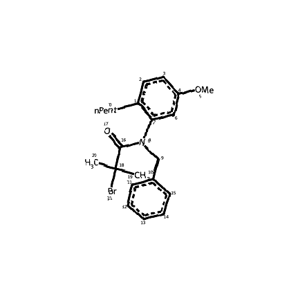 CCCCCc1ccc(OC)cc1N(Cc1ccccc1)C(=O)C(C)(C)Br